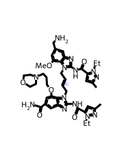 CCn1nc(C)cc1C(=O)Nc1nc2cc(CN)cc(OC)c2n1C/C=C/Cn1c(NC(=O)c2cc(C)nn2CC)nc2cc(C(N)=O)cc(OCCCN3CCOCC3)c21